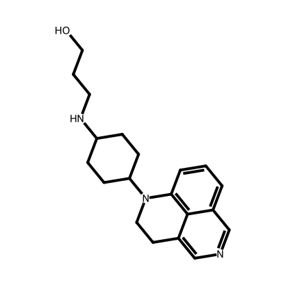 OCCCNC1CCC(N2CCc3cncc4cccc2c34)CC1